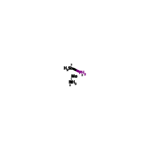 [BiH3].[Mo].[PH2][SbH2]